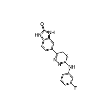 O=c1[nH]c2ccc(C3=NN=C(Nc4cccc(F)c4)SC3)cc2[nH]1